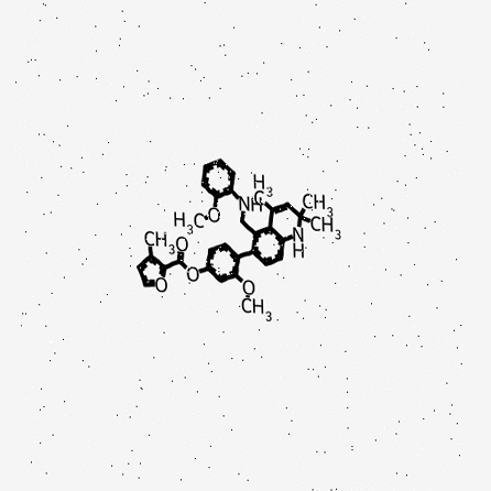 COc1ccccc1NCc1c(-c2ccc(OC(=O)c3occc3C)cc2OC)ccc2c1C(C)=CC(C)(C)N2